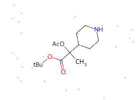 CC(=O)OC(C)(C(=O)OC(C)(C)C)C1CCNCC1